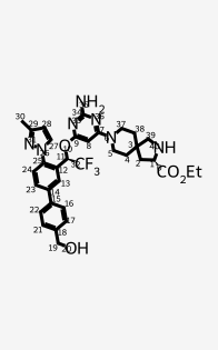 CCOC(=O)[C@@H]1CC2(CCN(c3cc(O[C@H](c4cc(-c5ccc(CO)cc5)ccc4-n4ccc(C)n4)C(F)(F)F)nc(N)n3)CC2)CN1